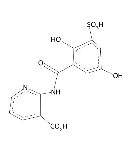 O=C(O)c1cccnc1NC(=O)c1cc(O)cc(S(=O)(=O)O)c1O